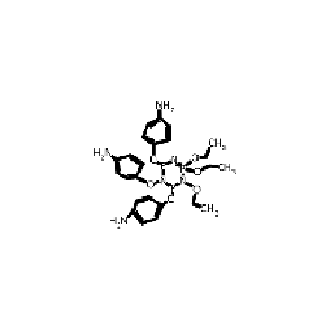 CCON1P(Oc2ccc(N)cc2)N(Oc2ccc(N)cc2)P(Oc2ccc(N)cc2)N=P1(OCC)OCC